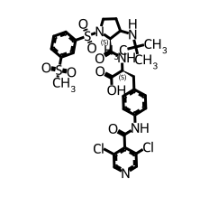 CC(C)(C)NC1CCN(S(=O)(=O)c2cccc(S(C)(=O)=O)c2)[C@@H]1C(=O)N[C@@H](Cc1ccc(NC(=O)c2c(Cl)cncc2Cl)cc1)C(=O)O